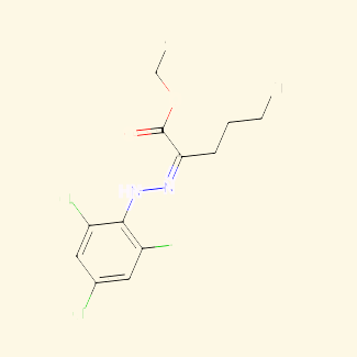 CCCCC(=NNc1c(Cl)cc(Cl)cc1Cl)C(=O)OCC